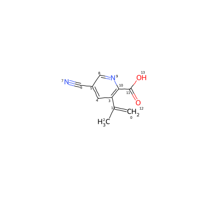 C=C(C)c1cc(C#N)cnc1C(=O)O